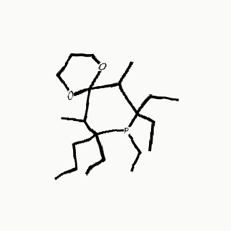 CCCC1(CC)C(C)C2(OCCCO2)C(C)C(CC)(CC)P1CC